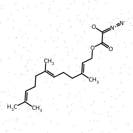 CC(C)=CCCC(C)=CCCC(C)=CCOC(=O)C([O])=[N+]=[N-]